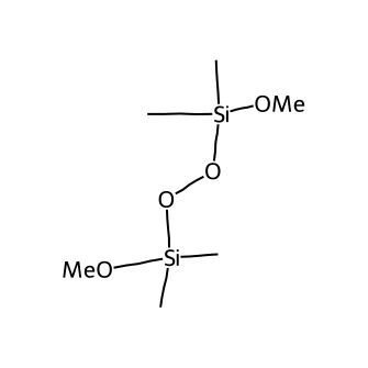 CO[Si](C)(C)OO[Si](C)(C)OC